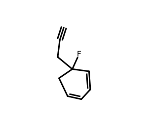 C#CCC1(F)C=CC=CC1